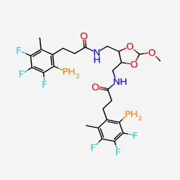 COC1OC(CNC(=O)CCc2c(C)c(F)c(F)c(F)c2P)C(CNC(=O)CCc2c(C)c(F)c(F)c(F)c2P)O1